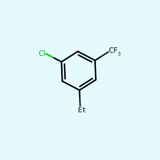 CCc1cc(Cl)cc(C(F)(F)F)c1